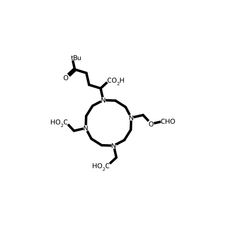 CC(C)(C)C(=O)CCC(C(=O)O)N1CCN(COC=O)CCN(CC(=O)O)CCN(CC(=O)O)CC1